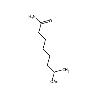 CC(=O)OC(C)CCCCCC(N)=O